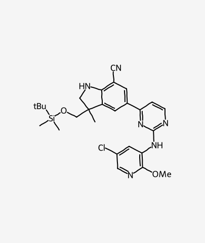 COc1ncc(Cl)cc1Nc1nccc(-c2cc(C#N)c3c(c2)C(C)(CO[Si](C)(C)C(C)(C)C)CN3)n1